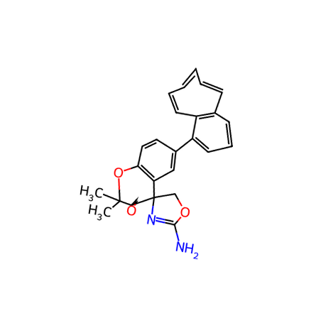 CC1(C)Oc2ccc(-c3cccc4c3\C=C/C=C/C=C/4)cc2C2(COC(N)=N2)C12COC2